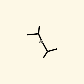 C[CH](C)[Ba][CH](C)C